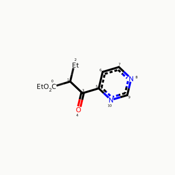 CCOC(=O)C(CC)C(=O)c1ccncn1